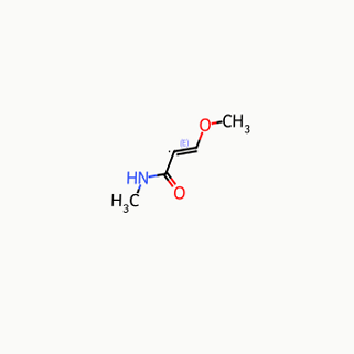 CNC(=O)/[C]=C/OC